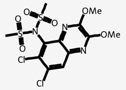 COc1nc2cc(Cl)c(Cl)c(N(S(C)(=O)=O)S(C)(=O)=O)c2nc1OC